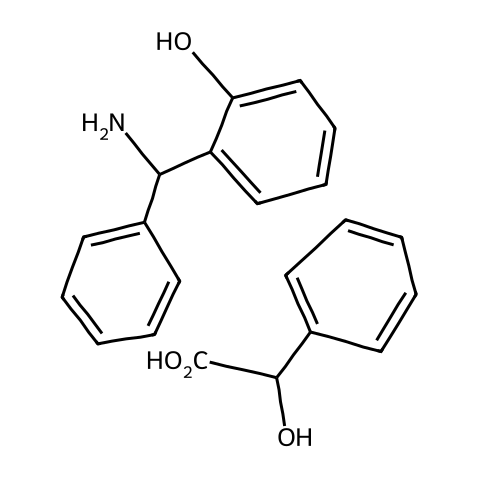 NC(c1ccccc1)c1ccccc1O.O=C(O)C(O)c1ccccc1